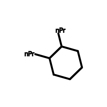 [CH2]CCC1CCCCC1CCC